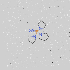 N=P(N1CCCC1)(N1CCCC1)N1CCCC1